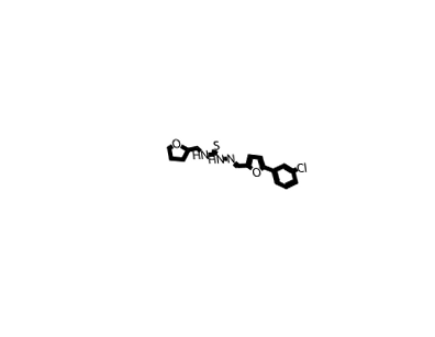 S=C(NCC1CCCO1)NN=Cc1ccc(-c2cccc(Cl)c2)o1